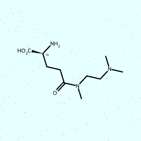 CN(C)CCN(C)C(=O)CC[C@H](N)C(=O)O